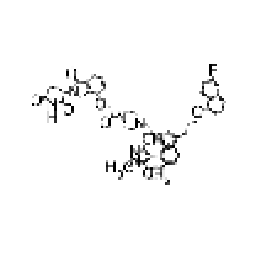 Cc1nn(C)c(C)c1-c1c(Cl)ccc2c(CCCOc3cccc4cc(F)ccc34)cn(CCN3CCN(C(=O)COc4cccc5c4CN(C4CCC(=O)NC4=O)C5=O)CC3)c12